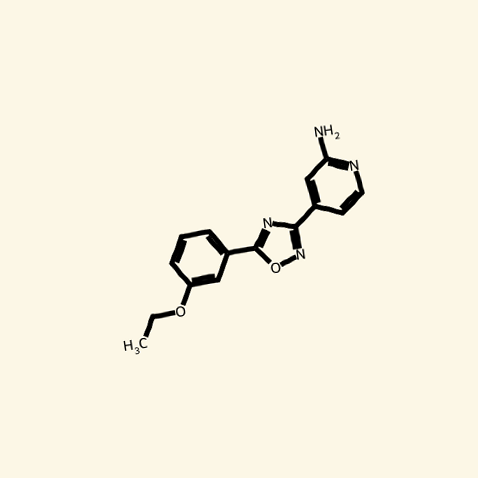 CCOc1cccc(-c2nc(-c3ccnc(N)c3)no2)c1